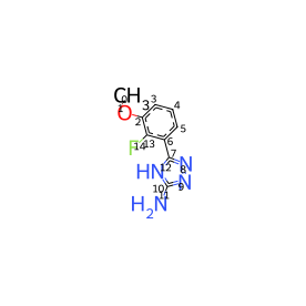 COc1cccc(-c2nnc(N)[nH]2)c1F